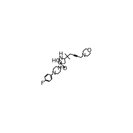 CC(C)(CC#CCN1CCOCC1)C(CS(=O)(=O)N1CCN(c2ccc(F)cc2)CC1)NO